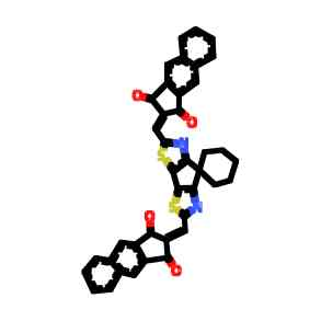 O=C1C(=Cc2nc3c(s2)-c2sc(C=C4C(=O)c5cc6ccccc6cc5C4=O)nc2C32CCCCC2)C(=O)c2cc3ccccc3cc21